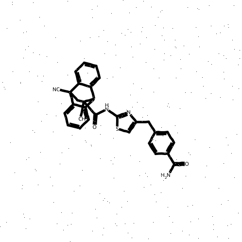 CC1(C(=O)Nc2nc(Cc3ccc(C(N)=O)cc3)cs2)CC2(C#N)c3ccccc3C1c1ccccc12